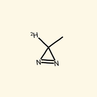 [2H]C1(C)N=N1